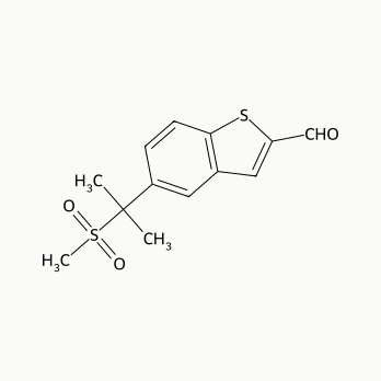 CC(C)(c1ccc2sc(C=O)cc2c1)S(C)(=O)=O